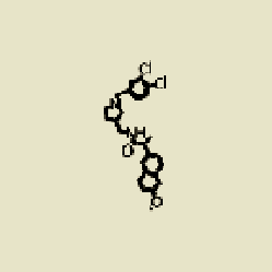 COc1ccc2cc(C(C)C(=O)NCC3CCN(Cc4ccc(Cl)c(Cl)c4)C3)ccc2c1